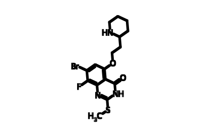 CSc1nc2c(F)c(Br)cc(OCCC3CCCCN3)c2c(=O)[nH]1